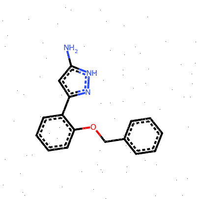 Nc1cc(-c2ccccc2OCc2ccccc2)n[nH]1